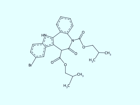 CC(C)COC(=O)C1C(=O)N(C(=O)OCC(C)C)c2ccccc2-c2[nH]c3ccc(Br)cc3c21